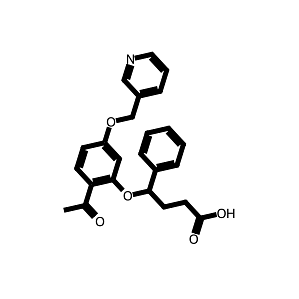 CC(=O)c1ccc(OCc2cccnc2)cc1OC(CCC(=O)O)c1ccccc1